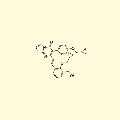 O=c1c(-c2ccc(OCC3CC3)cc2)c(/C=C/c2cccc(CO)c2OCC2CC2)nc2sccn12